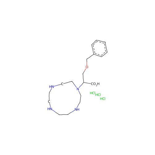 Cl.Cl.Cl.O=C(O)C(COCc1ccccc1)N1CCNCCNCCNCC1